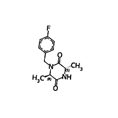 C[C@@H]1NC(=O)[C@@H](C)N(Cc2ccc(F)cc2)C1=O